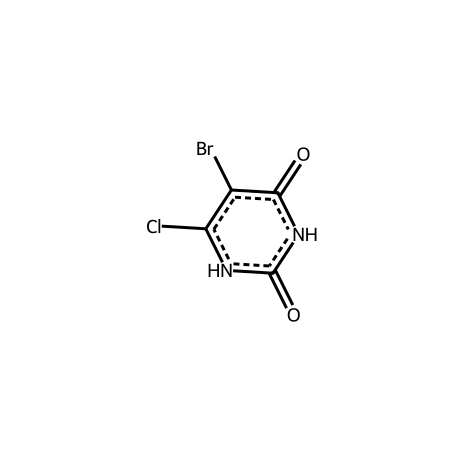 O=c1[nH]c(Cl)c(Br)c(=O)[nH]1